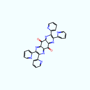 O=C1c2nc(-c3ccccn3)c(-c3ccccn3)nc2C(=O)c2nc(-c3ccccn3)c(-c3ccccn3)nc21